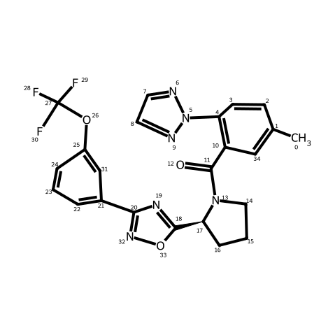 Cc1ccc(-n2nccn2)c(C(=O)N2CCC[C@H]2c2nc(-c3cccc(OC(F)(F)F)c3)no2)c1